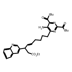 CCOC(=O)CC(C=CCCCCc1nc(C(=O)C(C)(C)C)nc(C(=O)C(C)(C)C)c1N)c1cnc2ccccc2c1